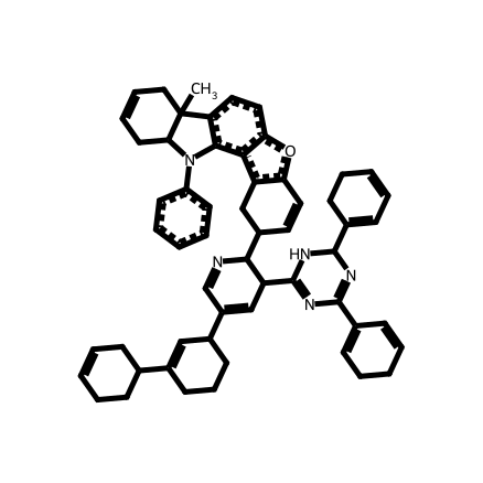 CC12CC=CCC1N(c1ccccc1)c1c2ccc2oc3c(c12)CC(C1N=CC(C2C=C(C4CC=CCC4)CCC2)=CC1C1=NC(C2=CCCC=C2)=NC(C2=CC=CCC2)N1)C=C3